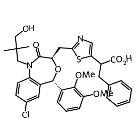 COc1cccc([C@H]2O[C@H](Cc3ncc(C(Cc4ccccc4)C(=O)O)s3)C(=O)N(CC(C)(C)CO)c3ccc(Cl)cc32)c1OC